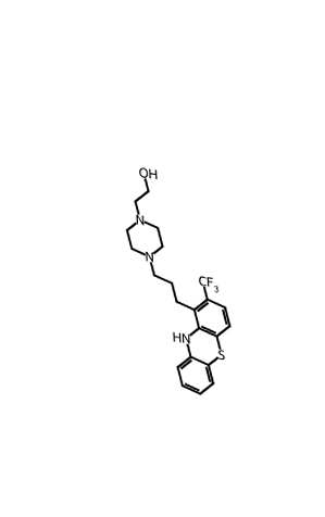 OCCN1CCN(CCCc2c(C(F)(F)F)ccc3c2Nc2ccccc2S3)CC1